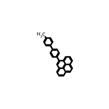 Cc1ccc(-c2ccc(-c3cc4cccc5ccc6cccc3c6c54)cc2)cc1